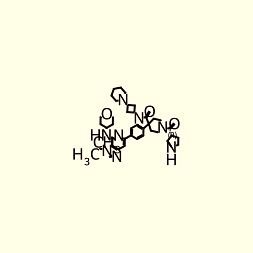 CC(C)n1cnc2cc(-c3ccc4c(c3)N(C3CC(N5CCCCC5)C3)C(=O)C43CCN(C(=O)[C@@H]4CCNC4)CC3)nc(NC3CCOCC3)c21